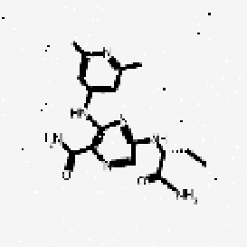 CC[C@@H](Nc1cnc(C(N)=O)c(Nc2cc(C)nc(C)c2)n1)C(N)=O